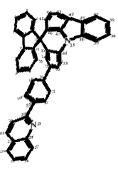 c1ccc2c(c1)-c1ccccc1C21c2cc(-c3ccc(-c4ccc5ccccc5n4)cc3)ccc2-n2c3ccccc3c3cccc1c32